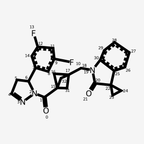 O=C(N1N=CCC1c1cc(F)cc(F)c1)C12CC(CN3C(=O)C4(CC4)c4ccccc43)(C1)C2